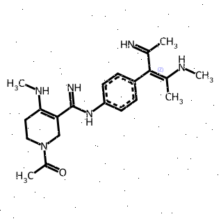 CNC1=C(C(=N)Nc2ccc(/C(C(C)=N)=C(\C)NC)cc2)CN(C(C)=O)CC1